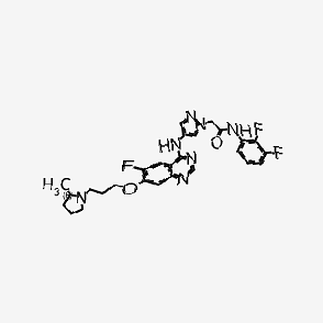 C[C@@H]1CCCN1CCCOc1cc2ncnc(Nc3cnn(CC(=O)Nc4cccc(F)c4F)c3)c2cc1F